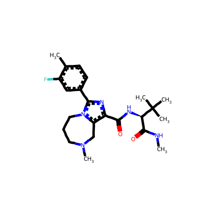 CNC(=O)[C@@H](NC(=O)c1nc(-c2ccc(C)c(F)c2)n2c1CN(C)CCC2)C(C)(C)C